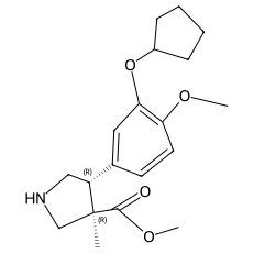 COC(=O)[C@@]1(C)CNC[C@@H]1c1ccc(OC)c(OC2CCCC2)c1